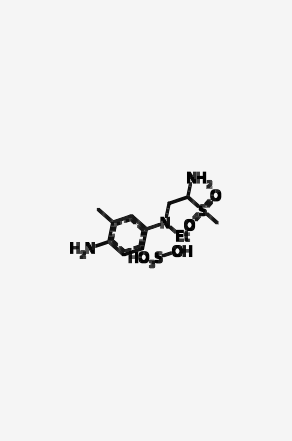 CCN(CC(N)S(C)(=O)=O)c1ccc(N)c(C)c1.O=S(=O)(O)O